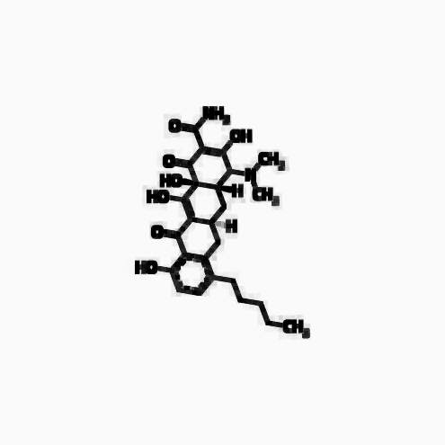 CCCCCc1ccc(O)c2c1C[C@@H]1C[C@H]3C(N(C)C)C(O)=C(C(N)=O)C(=O)[C@@]3(O)C(O)=C1C2=O